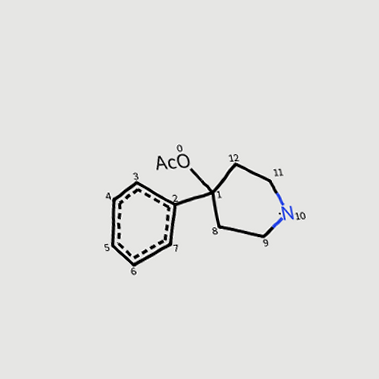 CC(=O)OC1(c2ccccc2)CC[N]CC1